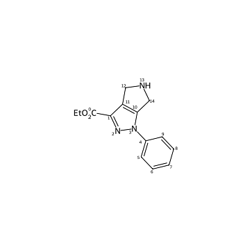 CCOC(=O)c1nn(-c2ccccc2)c2c1CNC2